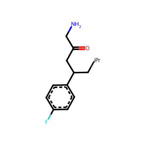 CC(C)CC(CC(=O)CN)c1ccc(F)cc1